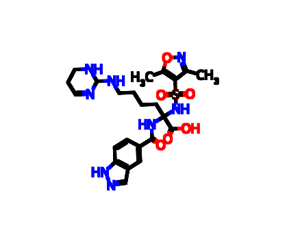 Cc1noc(C)c1S(=O)(=O)NC(CCCCNC1N=CCCN1)(NC(=O)c1ccc2[nH]ncc2c1)C(=O)O